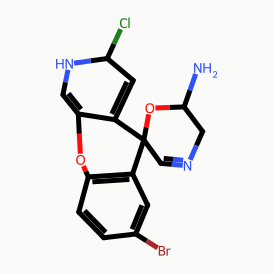 NC1CN=CC2(O1)C1=CC(Cl)NC=C1Oc1ccc(Br)cc12